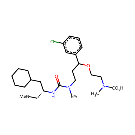 CCCN(CCC(OCCN(C)C(=O)O)c1cccc(Cl)c1)C(=O)N[C@H](CNC)CC1CCCCC1